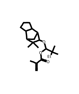 C=C(C)C(=O)OC(OC1C2CC(C3CCCC32)C1(C)C)C(C)(C)CC